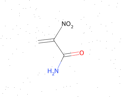 C=C(C(N)=O)[N+](=O)[O-]